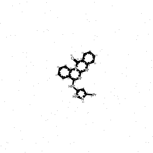 CC(C)c1cc(Nc2nc3nc4ccccc4c(=O)n3c3ccccc23)[nH]n1